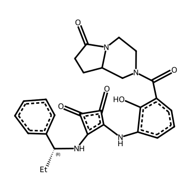 CC[C@@H](Nc1c(Nc2cccc(C(=O)N3CCN4C(=O)CCC4C3)c2O)c(=O)c1=O)c1ccccc1